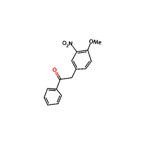 COc1ccc(CC(=O)c2ccccc2)cc1[N+](=O)[O-]